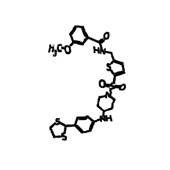 COc1cccc(C(=O)NCc2ccc(S(=O)(=O)N3CCC(Nc4ccc(C5SCCS5)cc4)CC3)s2)c1